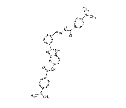 CN(C)c1ccc(C(=O)NN=Cc2cccc(-c3nc4cc(NC(=O)c5ccc(N(C)C)cc5)ccc4[nH]3)c2)cc1